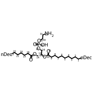 CCCCCCCCCCCCCCCCCCCC(=O)O[C@H](COC(=O)CCCCCCCCCCCCCCC)COP(=O)(O)OCCN